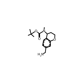 CN(C(=O)OC(C)(C)C)C1CCOc2cc(CN)ccc21